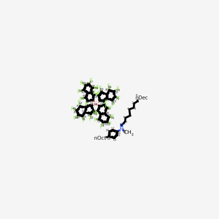 CCCCCCCCCCCCCCCCCC[NH+](C)c1ccc(CCCCCCCC)cc1.Fc1c(F)c(F)c2c(F)c([B-](c3c(F)c(F)c4c(F)c(F)c(F)c(F)c4c3F)(c3c(F)c(F)c4c(F)c(F)c(F)c(F)c4c3F)c3c(F)c(F)c4c(F)c(F)c(F)c(F)c4c3F)c(F)c(F)c2c1F